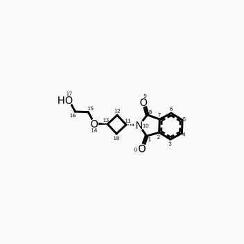 O=C1c2ccccc2C(=O)N1[C@H]1C[C@H](OCCO)C1